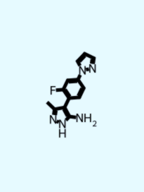 Cc1n[nH]c(N)c1-c1ccc(-n2cccn2)cc1F